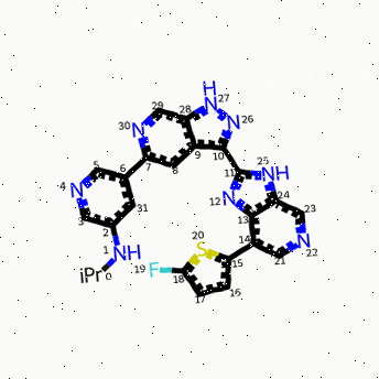 CC(C)Nc1cncc(-c2cc3c(-c4nc5c(-c6ccc(F)s6)cncc5[nH]4)n[nH]c3cn2)c1